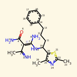 CC(=N)/C(C(N)=O)=C(/N)NC(CCCc1ccccc1)c1sc(C)nc1C